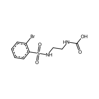 O=C(O)NCCNS(=O)(=O)c1ccccc1Br